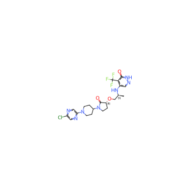 C[C@@H](CO[C@@H]1CCN(C2CCN(c3cnc(Cl)cn3)CC2)C1=O)Nc1cn[nH]c(=O)c1C(F)(F)F